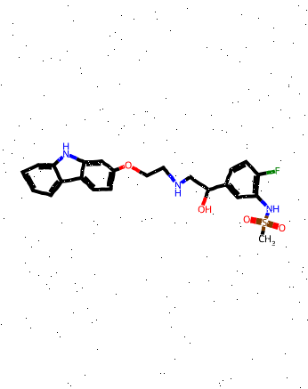 CS(=O)(=O)Nc1cc(C(O)CNCCOc2ccc3c(c2)[nH]c2ccccc23)ccc1F